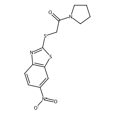 O=C(CSc1nc2ccc([N+](=O)[O-])cc2s1)N1CCCC1